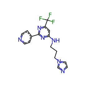 FC(F)(F)c1cc(NCCCn2ccnc2)nc(-c2ccncc2)n1